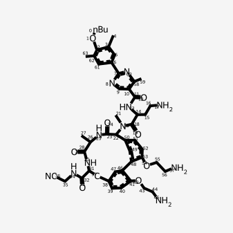 CCCCOc1c(C)cc(-c2ncc(C(=O)NC(CCN)C(=O)N(C)C3C(=O)NC(C)C(=O)NC(C(=O)NCC#N)Cc4ccc(OCCN)c(c4)-c4cc3ccc4OCCN)c(C)n2)cc1C